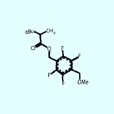 COCc1c(F)c(F)c(COC(=O)C(C)C(C)(C)C)c(F)c1F